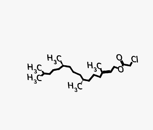 C/C(=C\COC(=O)CCl)CCC[C@H](C)CCC[C@H](C)CCCC(C)C